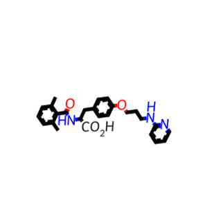 Cc1cccc(C)c1C(=O)NC(Cc1ccc(OCCCNc2ccccn2)cc1)C(=O)O